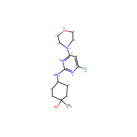 CC1(O)CCC(Nc2nc(Cl)cc(N3CCOCC3)n2)CC1